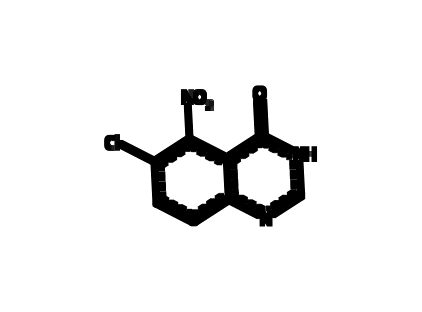 O=c1[nH]cnc2ccc(Cl)c([N+](=O)[O-])c12